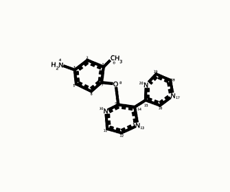 Cc1cc(N)ccc1Oc1nccnc1-c1cnccn1